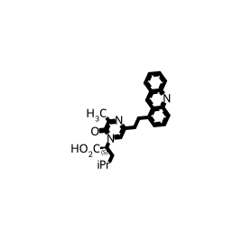 Cc1nc(CCc2cccc3nc4ccccc4cc23)cn([C@@H](CC(C)C)C(=O)O)c1=O